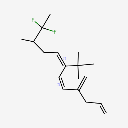 C=CCC(=C)/C=C\C(=C/CC(C)C(C)(F)F)C(C)(C)C